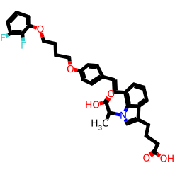 CC(C(=O)O)n1cc(CCCC(=O)O)c2cccc(C=Cc3ccc(OCCCCOc4cccc(F)c4F)cc3)c21